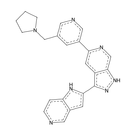 c1cc2[nH]c(-c3n[nH]c4cnc(-c5cncc(CN6CCCC6)c5)cc34)cc2cn1